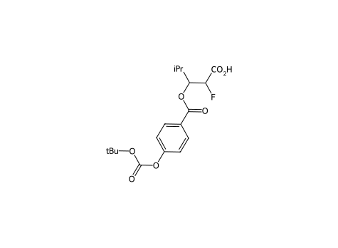 CC(C)C(OC(=O)c1ccc(OC(=O)OC(C)(C)C)cc1)C(F)C(=O)O